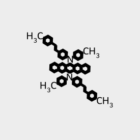 Cc1ccc(C=Cc2ccc(N(c3ccc(C)cc3)c3c4cc5ccccc5cc4c(N(c4ccc(C)cc4)c4ccc(C=Cc5ccc(C)cc5)cc4)c4cc5ccccc5cc34)cc2)cc1